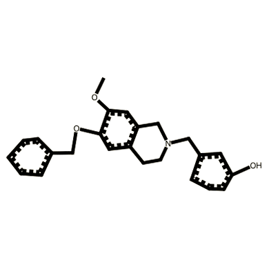 COc1cc2c(cc1OCc1ccccc1)CCN(Cc1cccc(O)c1)C2